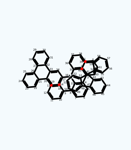 c1ccc(-c2cccc(-c3ccccc3)c2N(c2ccc3c4ccccc4c4ccccc4c3c2)c2cccc3c2C2(c4ccccc4-c4ccccc42)c2ccccc2-3)cc1